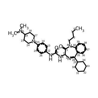 CCCCN1C(=O)C(NC(=O)Nc2ccc(N3CCC(N(C)C)CC3)cc2)N=C(C2CCCCC2)c2ccccc21